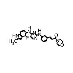 Cc1cc2c(F)c(Nc3ccnc(Nc4cccc(C=CC(=O)N5CCOCC5)c4)n3)ccc2[nH]1